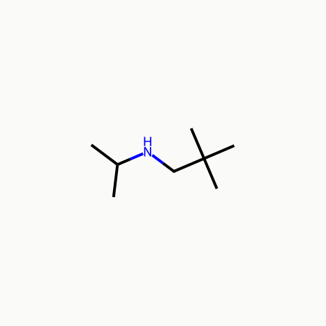 CC(C)NCC(C)(C)C